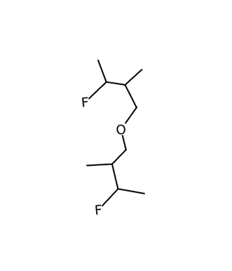 CC(F)C(C)COCC(C)C(C)F